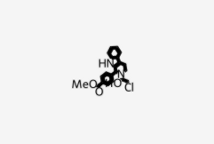 COC(=O)c1ccc(C2C3=C(CCN2C(O)CCl)C2C=CC=CC2N3)cc1